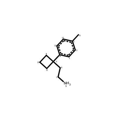 Cc1ccc(C2(CCN)CCC2)cc1